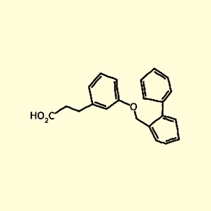 O=C(O)CCc1cccc(OCc2ccccc2-c2ccccc2)c1